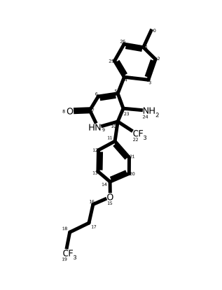 Cc1ccc(C2=CC(=O)NC(c3ccc(OCCCC(F)(F)F)cc3)(C(F)(F)F)C2N)cc1